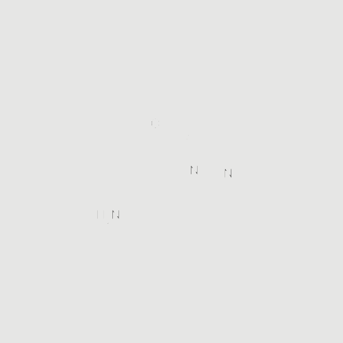 CN1CCC(=O)N1CCN